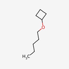 CCCCCOC1CCC1